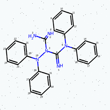 N=C(N)N(C(=N)N(c1ccccc1)c1ccccc1)N(c1ccccc1)c1ccccc1